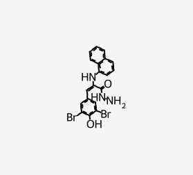 NNC(=O)C(=Cc1cc(Br)c(O)c(Br)c1)Nc1cccc2ccccc12